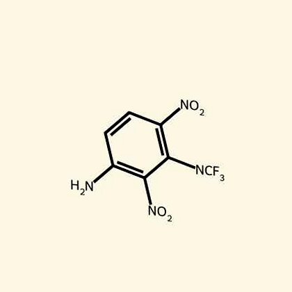 Nc1ccc([N+](=O)[O-])c(NC(F)(F)F)c1[N+](=O)[O-]